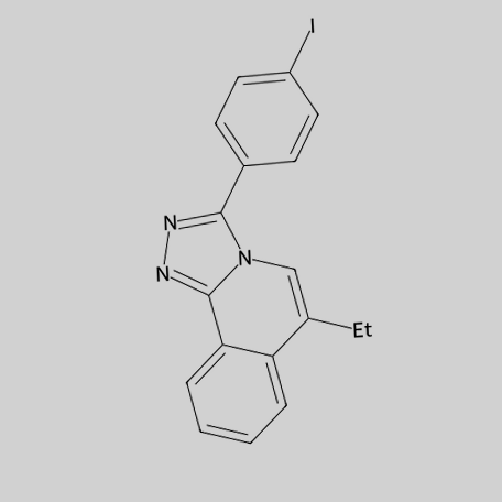 CCc1cn2c(-c3ccc(I)cc3)nnc2c2ccccc12